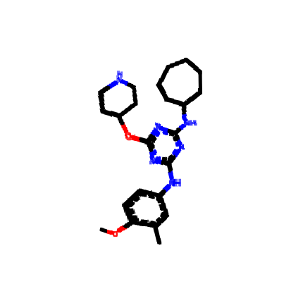 COc1ccc(Nc2nc(NC3CCCCCC3)nc(OC3CCNCC3)n2)cc1C